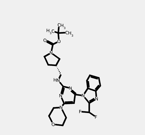 CC(C)(C)OC(=O)N1CC[C@@H](CNc2nc(N3CCOCC3)cc(-n3c(C(F)F)nc4ccccc43)n2)C1